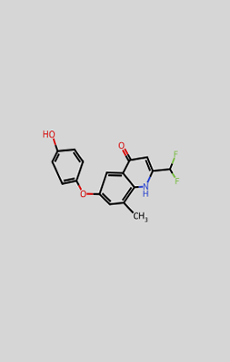 Cc1cc(Oc2ccc(O)cc2)cc2c(=O)cc(C(F)F)[nH]c12